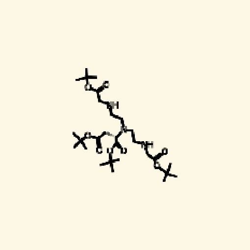 CC(C)(C)OC(=O)CNCCN(CCNCC(=O)OC(C)(C)C)[C@@H](CC(=O)OC(C)(C)C)C(=O)OC(C)(C)C